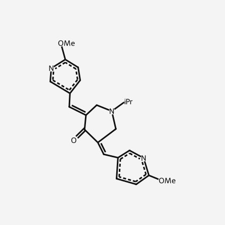 COc1ccc(/C=C2\CN(C(C)C)C/C(=C\c3ccc(OC)nc3)C2=O)cn1